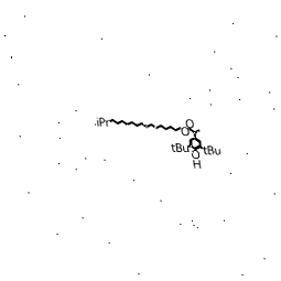 CC(C)CCCCCCCCCCCCCCCOC(=O)C(C)c1cc(C(C)(C)C)c(O)c(C(C)(C)C)c1